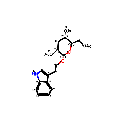 CC(=O)OC[C@H]1O[C@H](OCCc2c[nH]c3ccccc23)[C@H](OC(C)=O)C[C@@H]1OC(C)=O